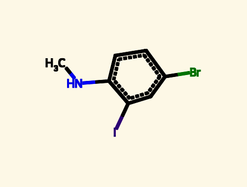 CNc1ccc(Br)cc1I